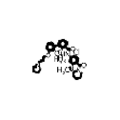 COc1cc(NC(=O)c2cccc(-c3cccc(OCCCN4CCCC4)c3C)c2C)c(Cl)cc1C(=O)N1CCCCC1